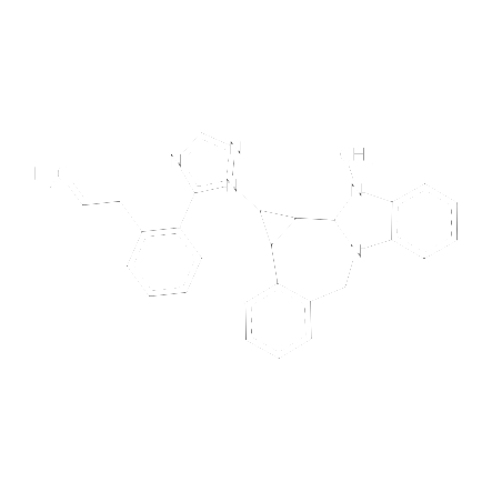 C=CCc1ccccc1-c1ncnn1C1C2c3ccccc3CN3c4ccccc4N(C)C3C21